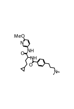 COc1ccc(NC(=O)C(CCC2CC2)NC(=O)c2ccc(CCCN(C)C)cc2)cn1